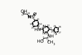 C[C@H](CO)Nc1nc(Nc2ccc(/[SH](=O)=N/CCO)cc2)ncc1-c1cccs1